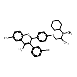 CC1=C(c2cccc(O)c2)C(c2ccc(OCC(C)N(C)C3CCCCC3)cc2)Oc2ccc(O)cc21